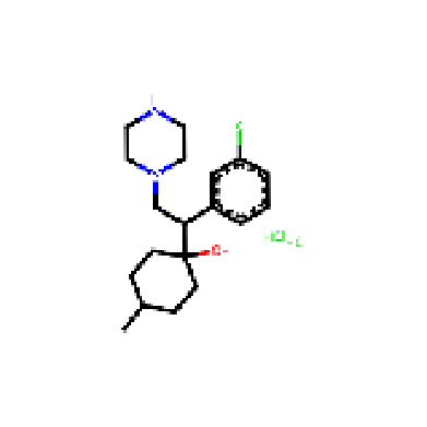 CC1CCC(O)(C(CN2CCNCC2)c2cccc(Cl)c2)CC1.Cl.Cl